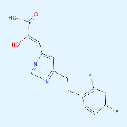 O=C(O)/C(O)=C/c1cc(CCc2ccc(F)cc2F)ncn1